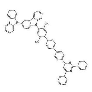 N#Cc1cc(-n2c3ccccc3c3cc(-n4c5ccccc5c5ccccc54)ccc32)c(C#N)cc1-c1ccc(-c2ccc(-c3cc(-c4ccccc4)nc(-c4ccccc4)n3)cc2)cc1